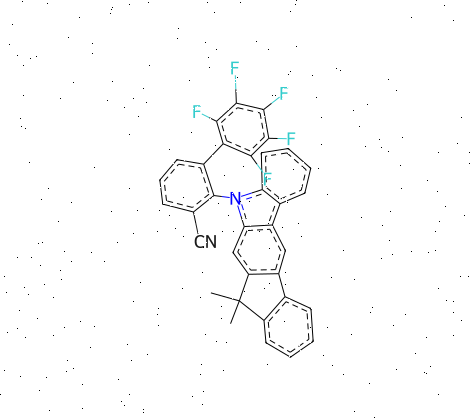 CC1(C)c2ccccc2-c2cc3c4ccccc4n(-c4c(C#N)cccc4-c4c(F)c(F)c(F)c(F)c4F)c3cc21